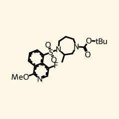 COc1ncc(F)c2c(S(=O)(=O)N3CCCN(C(=O)OC(C)(C)C)CC3C)cccc12